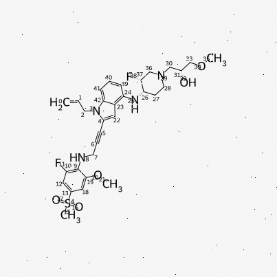 C=CCn1c(C#CCNc2c(F)cc(S(C)(=O)=O)cc2OC)cc2c(N[C@H]3CCN(C[C@@H](O)COC)C[C@H]3F)cccc21